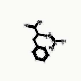 NC(Cc1ccccc1)C(=O)O.O=[PH](O)O